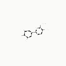 CCCc1cc(-c2ccc(C#N)c(OC)n2)cc([N+](=O)[O-])c1O